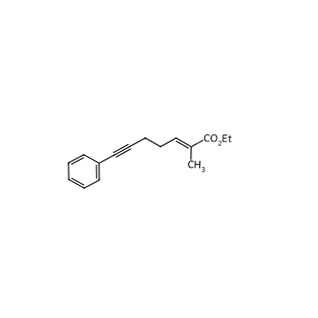 CCOC(=O)/C(C)=C/CCC#Cc1ccccc1